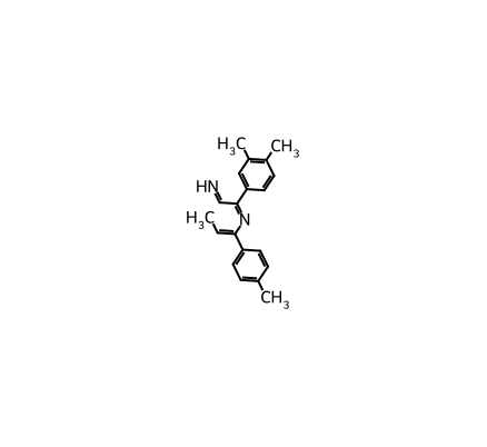 C/C=C(\N=C(/C=N)c1ccc(C)c(C)c1)c1ccc(C)cc1